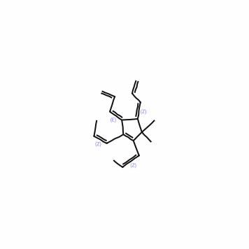 C=C/C=C1\C(=C/C=C)C(/C=C\C)=C(/C=C\C)C1(C)C